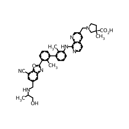 Cc1c(Nc2nccc3cc(CN4CC[C@@](C)(C(=O)O)C4)cnc23)cccc1-c1cccc(-c2nc3cc(CNC(C)CO)cc(C#N)c3o2)c1C